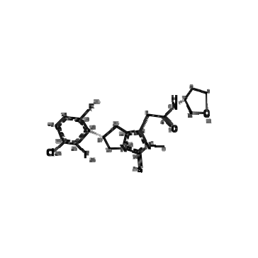 Cn1c(CC(=O)N[C@@H]2CCOC2)c2n(c1=S)C[C@H](c1c(F)ccc(Cl)c1F)C2